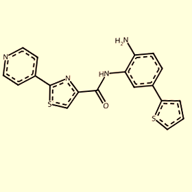 Nc1ccc(-c2cccs2)cc1NC(=O)c1csc(-c2ccncc2)n1